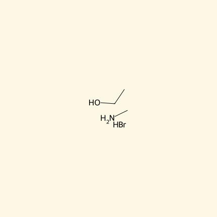 Br.CCO.CN